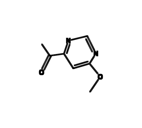 COc1cc(C(C)=O)ncn1